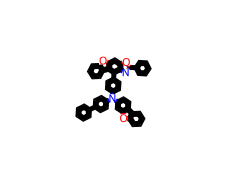 c1ccc(-c2ccc(N(c3ccc(-c4c5nc(-c6ccccc6)oc5cc5oc6ccccc6c45)cc3)c3ccc4c(c3)oc3ccccc34)cc2)cc1